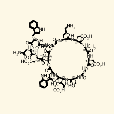 CCCCCCCCCC(=O)N[C@@H](Cc1c[nH]c2ccccc12)C(=O)N[C@H](CC(N)=O)C(=O)N[C@@H](CC(=O)O)C(=O)N[C@@H]1C(=O)N(C)CC(=O)N[C@@H](CCCN)C(=O)N[C@@H](CC(=O)O)C(=O)N[C@H](C)C(=O)N[C@@H](CC(=O)O)C(=O)NCC(=O)N[C@H](CO)C(=O)N[C@@H](C(C)CC(=O)O)C(=O)N[C@@H](CC(=O)c2ccccc2N)C(=O)O[C@@H]1C